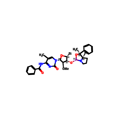 CC[C@H]1O[C@@H](n2cc(C)c(NC(=O)c3ccccc3)nc2=O)C(OC)[C@H]1O[P@]1O[C@@](C)(c2ccccc2)[C@H]2CCCN21